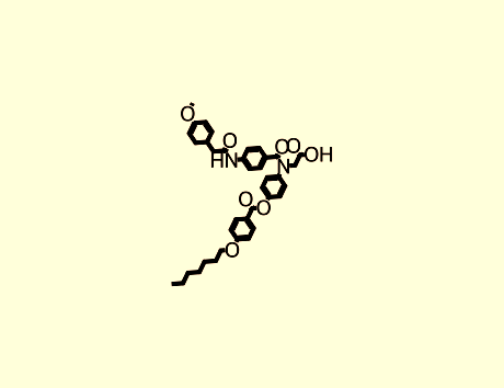 CCCCCCCOc1ccc(C(=O)Oc2ccc(N(CC(=O)O)C(=O)c3ccc(NC(=O)CC4C=CC(OC)=CC4)cc3)cc2)cc1